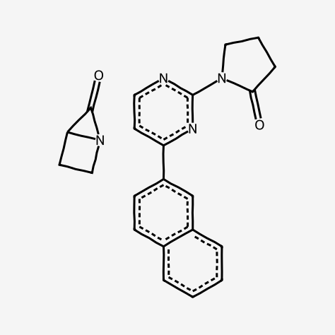 O=C1C2CCN12.O=C1CCCN1c1nccc(-c2ccc3ccccc3c2)n1